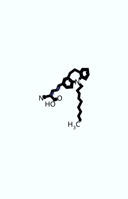 CCCCCCCCCCN1c2ccccc2CCc2cc(/C=C/C=C(/C#N)C(=O)O)ccc21